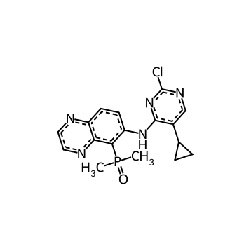 CP(C)(=O)c1c(Nc2nc(Cl)ncc2C2CC2)ccc2nccnc12